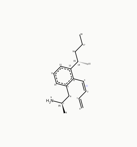 C=C/C=C\c1c(C[C@@H](C)N)cccc1[C@@H](C)CCC